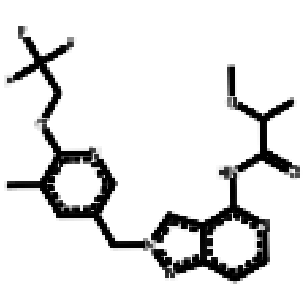 COC(C)C(=O)Nc1nccc2nn(Cc3cnc(OCC(F)(F)F)c(C)c3)cc12